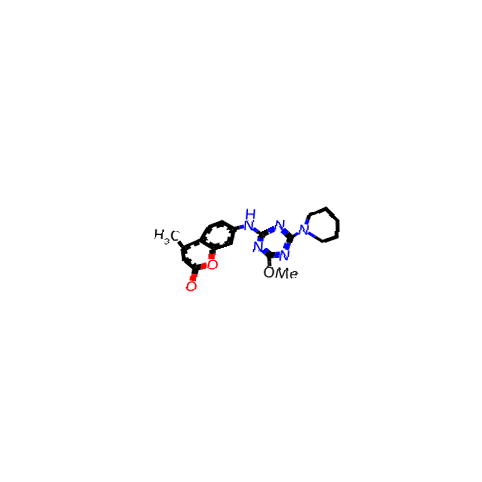 COc1nc(Nc2ccc3c(C)cc(=O)oc3c2)nc(N2CCCCC2)n1